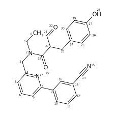 CCN(Cc1cccc(-c2cccc(C#N)c2)n1)C(=O)C(C=O)Cc1ccc(O)cc1